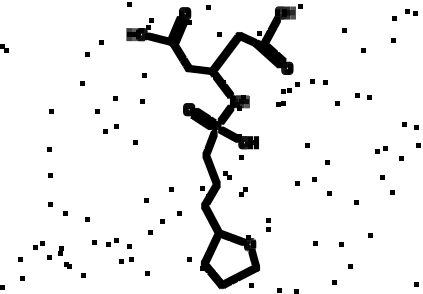 O=C(O)CC(CC(=O)O)NP(=O)(O)CCCC1CCCO1